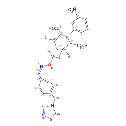 CC1=C(C(=O)O)C(c2cccc([N+](=O)[O-])c2)C(C(=O)O)C(C)(CC(C)O/N=C\c2ccc(Cn3ccnc3)cc2)N1